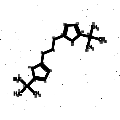 [CH3][Sn]([CH3])([CH3])[c]1ccc(CCCc2cc[c]([Sn]([CH3])([CH3])[CH3])s2)s1